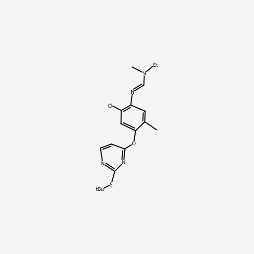 CCN(C)C=Nc1cc(C)c(Oc2ccnc(SC(C)(C)C)n2)cc1Cl